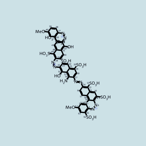 COc1ccc(/N=N\c2c(S(=O)(=O)O)cc3c(S(=O)(=O)O)c(N=Nc4cc(S(=O)(=O)O)c5cc(S(=O)(=O)O)c(/N=N\c6ccc7c(O)c(/N=N\c8ccc(OC)cc8S(=O)(=O)O)c(S(=O)(=O)O)cc7c6S(=O)(=O)O)c(O)c5c4N)ccc3c2O)c(S(=O)(=O)O)c1